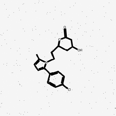 Cc1ccc(-c2ccc(Cl)cc2)n1CCC1CC(O)CC(=O)O1